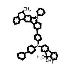 C=C1Cc2ccccc2-c2cc3c4cc(-c5ccc(N(c6ccc(-c7ccccc7)cc6)c6ccc7c(c6)C(C)(C)c6ccccc6-7)cc5)ccc4n(-c4ccccc4)c3cc21